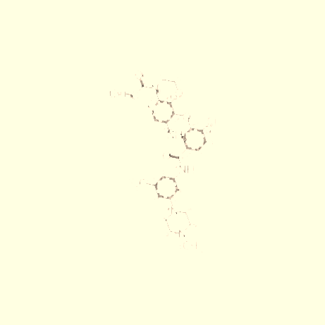 CN1CCN(c2cc(NC(=O)c3ccc(Cl)c(Oc4c(N)cnc5c4OCCN5C(=O)OC(C)(C)C)c3)cc(C(F)(F)F)c2)CC1